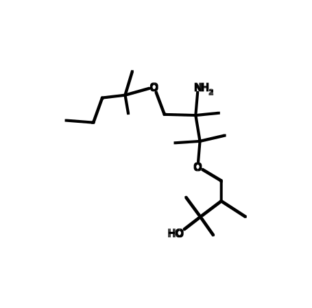 CCCC(C)(C)OCC(C)(N)C(C)(C)OCC(C)C(C)(C)O